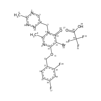 Cc1ncc(Cn2c(C)nc(OCc3ccc(F)cc3F)c(Br)c2=O)nn1.O=C(O)C(F)(F)F